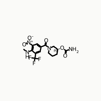 CNc1c([N+](=O)[O-])cc(C(=O)N2CCC[C@@H](OC(N)=O)C2)cc1C(F)(F)F